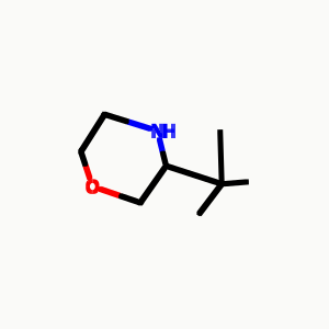 CC(C)(C)C1COCCN1